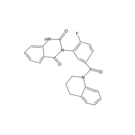 O=C(c1ccc(F)c(-n2c(=O)[nH]c3ccccc3c2=O)c1)N1CCCc2ccccc21